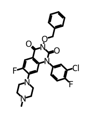 CN1CCN(c2cc3c(cc2F)c(=O)n(OCc2ccccc2)c(=O)n3-c2ccc(F)c(Cl)c2)CC1